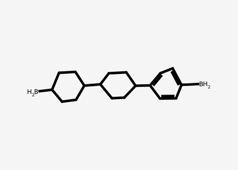 Bc1ccc(C2CCC(C3CCC(B)CC3)CC2)cc1